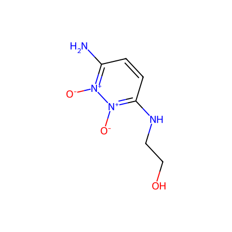 Nc1ccc(NCCO)[n+]([O-])[n+]1[O-]